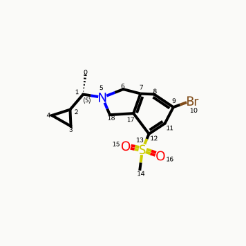 C[C@@H](C1CC1)N1Cc2cc(Br)cc(S(C)(=O)=O)c2C1